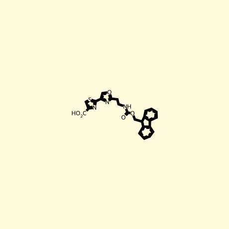 O=C(NCCc1nc(-c2nc(C(=O)O)cs2)co1)OCC1c2ccccc2-c2ccccc21